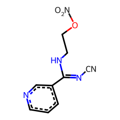 N#CN=C(NCCO[N+](=O)[O-])c1cccnc1